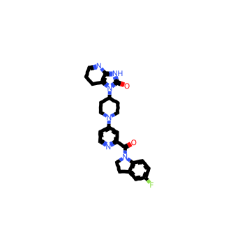 O=C(c1cc(N2CCC(n3c4c([nH]c3=O)N=CCC4)CC2)ccn1)N1CCc2cc(F)ccc21